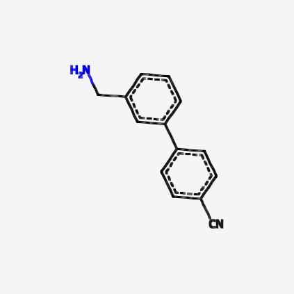 N#Cc1ccc(-c2cccc(CN)c2)cc1